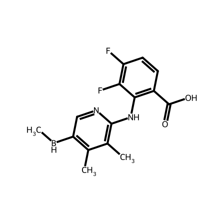 CBc1cnc(Nc2c(C(=O)O)ccc(F)c2F)c(C)c1C